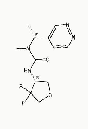 C[C@H](c1ccnnc1)N(C)C(=O)N[C@@H]1COCC1(F)F